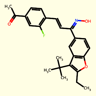 CCc1oc2ccc(C(/C=C/c3ccc(C(C)=O)cc3F)=N\O)cc2c1C(C)(C)C